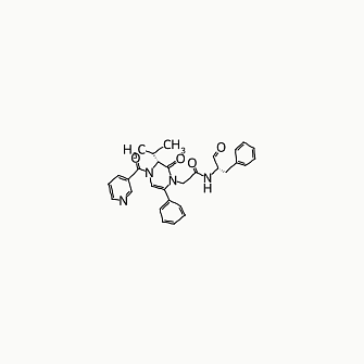 CC(C)[C@@H]1C(=O)N(CC(=O)N[C@H](C=O)Cc2ccccc2)C(c2ccccc2)=CN1C(=O)c1cccnc1